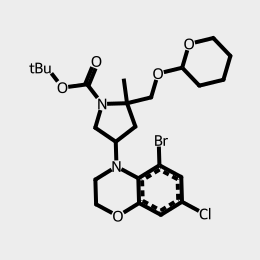 CC(C)(C)OC(=O)N1CC(N2CCOc3cc(Cl)cc(Br)c32)CC1(C)COC1CCCCO1